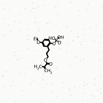 C=C(C)C(=O)OCCCc1cc(OCC)ccc1OP(=O)(O)O